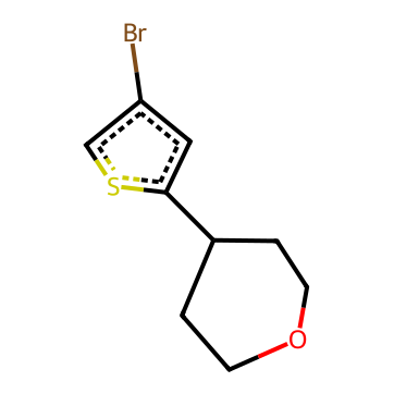 Brc1csc(C2CCOCC2)c1